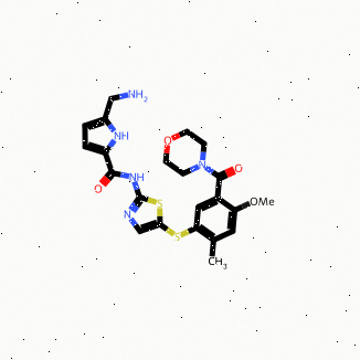 COc1cc(C)c(Sc2cnc(NC(=O)c3ccc(CN)[nH]3)s2)cc1C(=O)N1CCOCC1